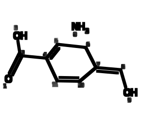 N.O=C(O)C1=CCC(=CO)C=C1